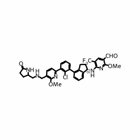 COc1nc(N[C@H]2CCc3c(-c4cccc(-c5ccc(CNCC6CCC(=O)N6)c(OC)n5)c4Cl)cccc32)c(C(F)(F)F)cc1C=O